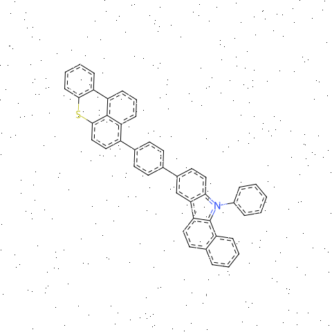 c1ccc(-n2c3ccc(-c4ccc(-c5ccc6c7c(cccc57)-c5ccccc5S6)cc4)cc3c3ccc4ccccc4c32)cc1